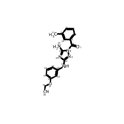 Cc1cccc(C(=O)n2nc(Nc3cccc(OCC#N)c3)nc2N)c1